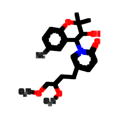 CC1(C)Oc2ccc(C#N)cc2C(n2cc(CCC(CO[N+](=O)[O-])O[N+](=O)[O-])ccc2=O)C1O